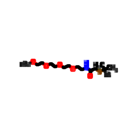 CCCCOCCOCCOCCOCCNC(=O)CSC(C)(C)CC